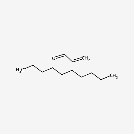 C=CC=O.CCCCCCCCCC